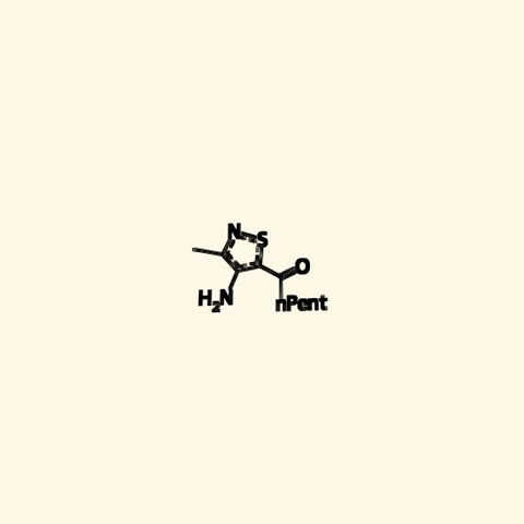 CCCCCC(=O)c1snc(C)c1N